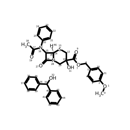 COc1ccc(COC(=O)C2(O)CS[C@@H]3C(N(C(C)=O)c4ccccc4)C(=O)N3C2)cc1.OC(c1ccccc1)c1ccccc1